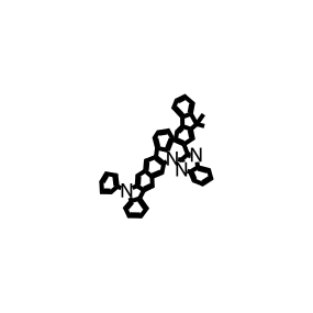 CC1(C)c2ccccc2-c2ccc(-c3nc4ccccc4nc3-n3c4ccccc4c4cc5cc6c(cc5cc43)c3ccccc3n6-c3ccccc3)cc21